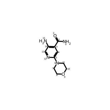 NC(=O)c1cc(N2CCOCC2)ncc1N